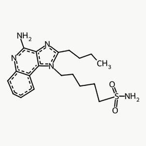 CCCCc1nc2c(N)nc3ccccc3c2n1CCCCCS(N)(=O)=O